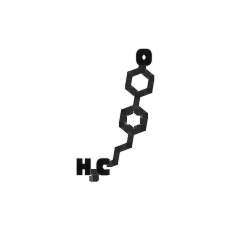 CCCCc1ccc(C2CCC(=O)CC2)cc1